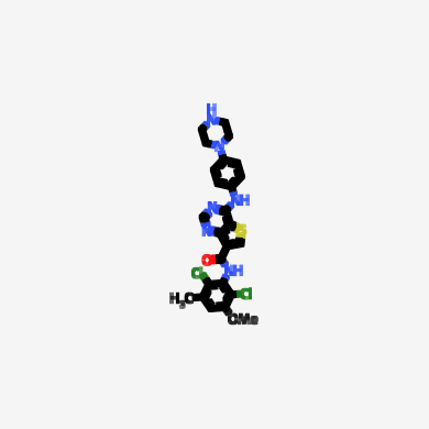 COc1cc(C)c(Cl)c(NC(=O)c2csc3c(Nc4ccc(N5CCNCC5)cc4)ncnc23)c1Cl